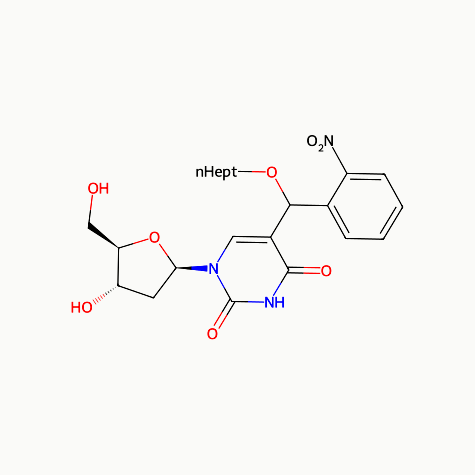 CCCCCCCOC(c1ccccc1[N+](=O)[O-])c1cn([C@H]2C[C@H](O)[C@@H](CO)O2)c(=O)[nH]c1=O